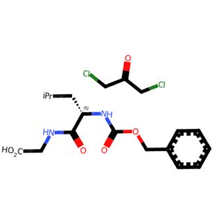 CC(C)C[C@H](NC(=O)OCc1ccccc1)C(=O)NCC(=O)O.O=C(CCl)CCl